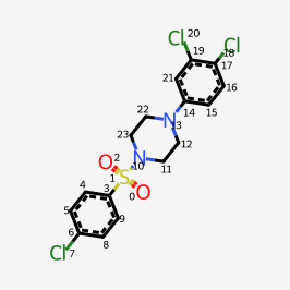 O=S(=O)(c1ccc(Cl)cc1)N1CCN(c2ccc(Cl)c(Cl)c2)CC1